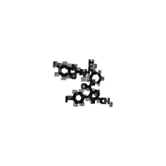 Cc1nc(C(=O)N2CCC[C@@H](C)[C@H]2CNc2nc3cc(F)ccc3o2)c(-c2ccc(F)cc2)s1